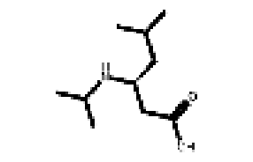 CC(C)C[C@@H](CC(=O)O)NC(C)C